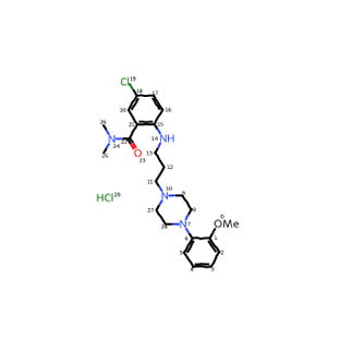 COc1ccccc1N1CCN(CCCNc2ccc(Cl)cc2C(=O)N(C)C)CC1.Cl